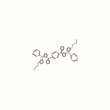 CCCCOC(OC(=O)c1ccc(C(=O)OC(OCCCC)c2ccccc2)cc1)c1ccccc1